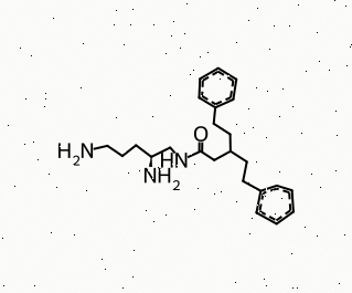 NCCC[C@H](N)CNC(=O)CC(CCc1ccccc1)CCc1ccccc1